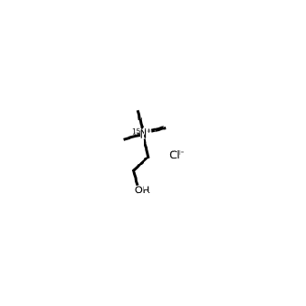 C[15N+](C)(C)CCO.[Cl-]